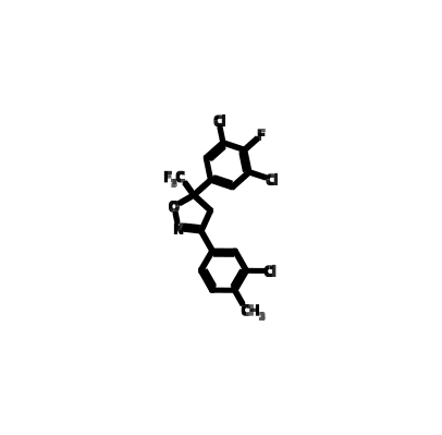 Cc1ccc(C2=NOC(c3cc(Cl)c(F)c(Cl)c3)(C(F)(F)F)C2)cc1Cl